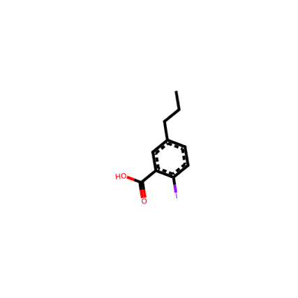 CCCc1ccc(I)c(C(=O)O)c1